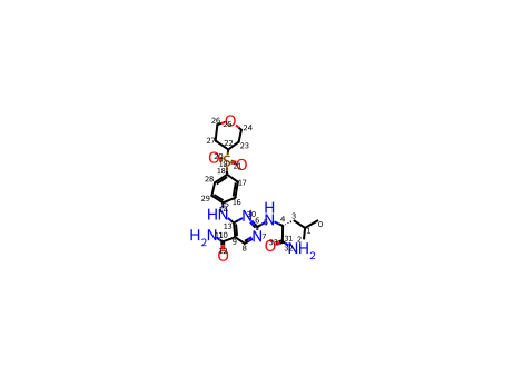 CC(C)C[C@@H](Nc1ncc(C(N)=O)c(Nc2ccc(S(=O)(=O)C3CCOCC3)cc2)n1)C(N)=O